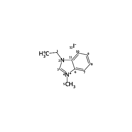 CCn1c[n+](C)c2ccccc21.[I-]